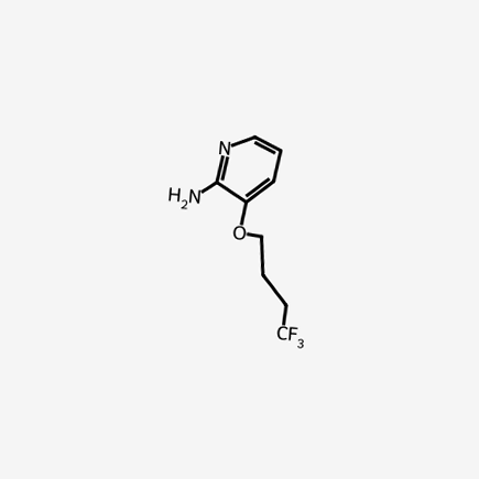 Nc1ncccc1OCCCC(F)(F)F